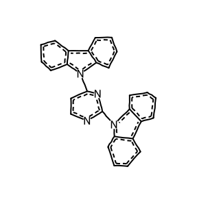 c1ccc2c(c1)c1ccccc1n2-c1ccnc(-n2c3ccccc3c3ccccc32)n1